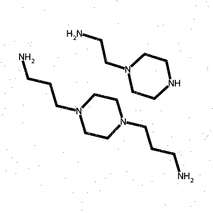 NCCCN1CCN(CCCN)CC1.NCCN1CCNCC1